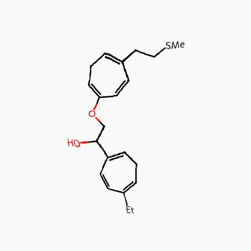 CCC1=CCC=C(C(O)COC2=CCC=C(CCSC)C=C2)C=C1